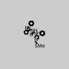 CSCCN1C[C@@H](NC(=O)Nc2c3c(nn2-c2ccccc2)CCC3)[C@H](c2ccccc2)C1